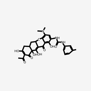 CC(=O)C1=C(O)CC2CC3Cc4c(N(C)C)cc(NC(=O)Nc5cccc(C)c5)c(O)c4C(=O)C3=C(O)C2(O)C1=O